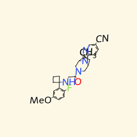 COc1ccc(F)c(C2(NCC(=O)N3CC4C[C@H](C)C(C3)N4c3ccc(C#N)cn3)CCC2)c1